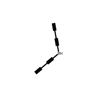 C#CC#CBC#CC#C